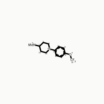 CNC1CCN(c2ccc(OC(F)(F)F)cc2)CC1